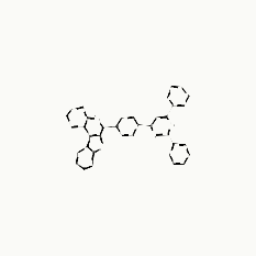 c1ccc(-c2cc(-c3ccc(-c4nc5ccccc5c5c4oc4ccccc45)cc3)nc(-c3ccccc3)n2)cc1